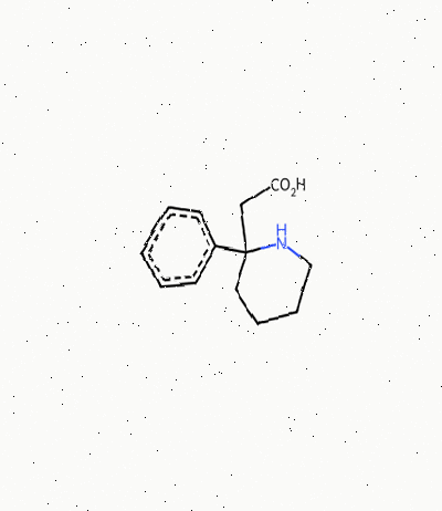 O=C(O)CC1(c2ccccc2)CCCCN1